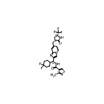 Cc1nscc1C(=O)N[C@H](c1cn2ccc(CN3C[C@@H](C(F)(F)F)NC3=O)cc2n1)C1CCC(F)(F)CC1